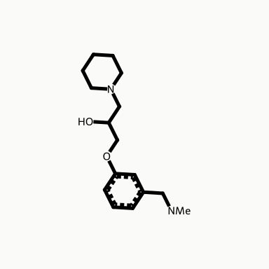 CNCc1cccc(OCC(O)CN2CCCCC2)c1